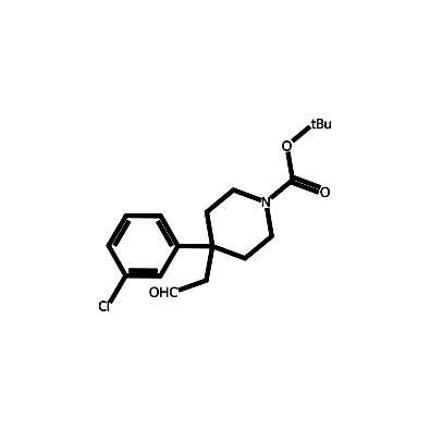 CC(C)(C)OC(=O)N1CCC(CC=O)(c2cccc(Cl)c2)CC1